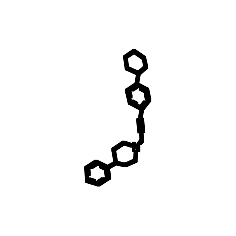 C(#Cc1ccc(C2CCCCC2)cc1)CN1CCC(c2ccccc2)CC1